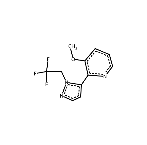 COc1cccnc1-c1ccnn1CC(F)(F)F